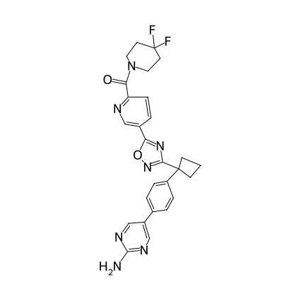 Nc1ncc(-c2ccc(C3(c4noc(-c5ccc(C(=O)N6CCC(F)(F)CC6)nc5)n4)CCC3)cc2)cn1